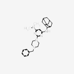 CN(C)c1cc(NC2C3CC4CC(C3)CC2C4)nc(N2CCN(Cc3ccccc3)CC2)n1